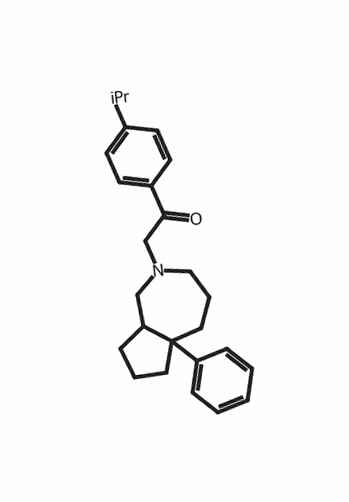 CC(C)c1ccc(C(=O)CN2CCCC3(c4ccccc4)CCCC3C2)cc1